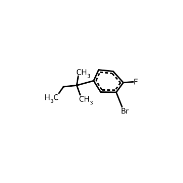 CCC(C)(C)c1ccc(F)c(Br)c1